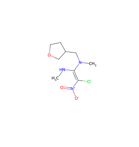 CNC(=C(Cl)[N+](=O)[O-])N(C)CC1CCOC1